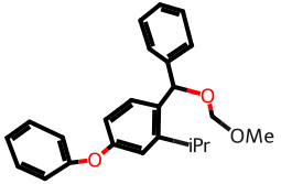 COCOC(c1ccccc1)c1ccc(Oc2ccccc2)cc1C(C)C